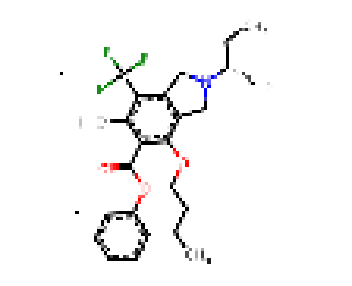 CCCCOc1c2c(c(C(F)(F)F)c(C)c1C(=O)Oc1ccccc1)CN([C@@H](C)CC)C2